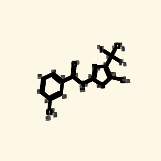 O=C(Nc1nc(C(F)(F)C(F)(F)F)c(Cl)s1)c1cccc(C(F)(F)F)c1